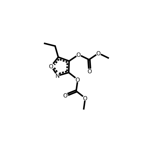 CCc1onc(OC(=O)OC)c1OC(=O)OC